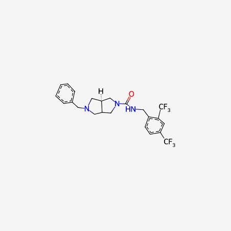 O=C(NCc1ccc(C(F)(F)F)cc1C(F)(F)F)N1CC2CN(Cc3ccccc3)C[C@H]2C1